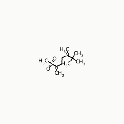 CN(CCN(C)S(C)(=O)=O)C(C)(C)C